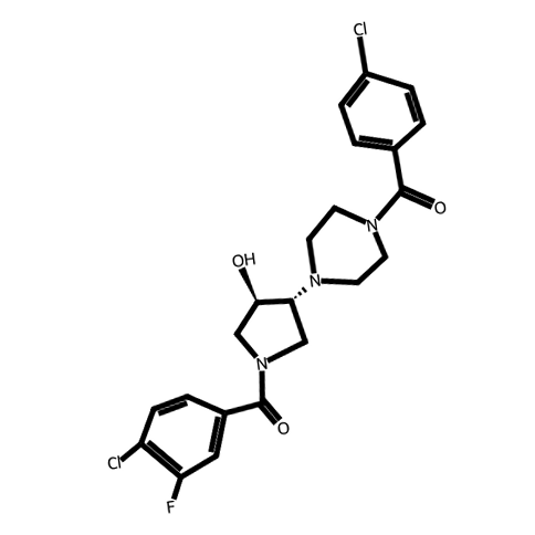 O=C(c1ccc(Cl)cc1)N1CCN([C@@H]2CN(C(=O)c3ccc(Cl)c(F)c3)C[C@H]2O)CC1